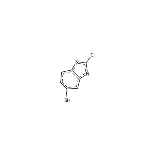 Sc1ccc2sc(Cl)nc2c1